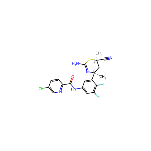 C[C@]1(C#N)C[C@@](C)(c2cc(NC(=O)c3ccc(Cl)cn3)cc(F)c2F)N=C(N)S1